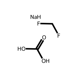 FCF.O=C(O)O.[NaH]